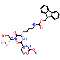 CC(C)C[C@H](NC(=O)OC(C)(C)C)C(=O)N[C@@H](CCCCNC(=O)OCC1c2ccccc2-c2ccccc21)C(=O)N[C@@H](CO)C(=O)O